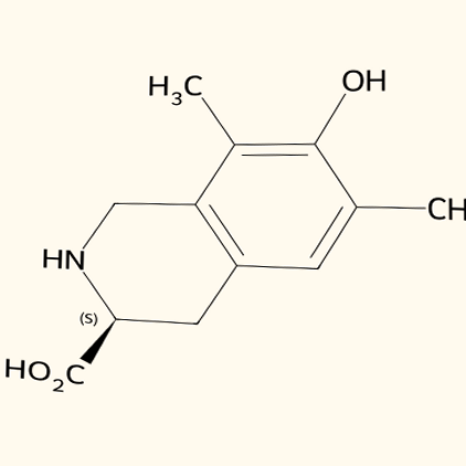 Cc1cc2c(c(C)c1O)CN[C@H](C(=O)O)C2